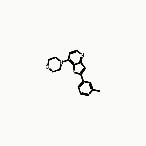 Cc1cccc(-c2cc3nccc(N4CCOCC4)c3s2)c1